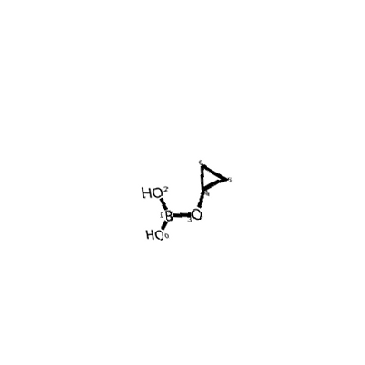 OB(O)OC1CC1